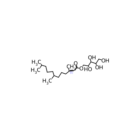 C/C(=C\C(=O)OCC(O)C(O)C(O)CO)CCCC(C)CCCC(C)C